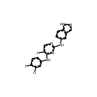 Fc1ccc(Nc2nc(Nc3ccc4[nH]ncc4c3)ncc2F)cc1Cl